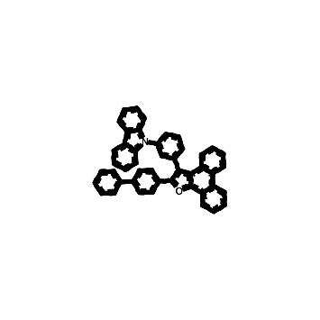 c1ccc(-c2ccc(-c3oc4c5ccccc5c5ccccc5c4c3-c3cccc(-n4c5ccccc5c5ccccc54)c3)cc2)cc1